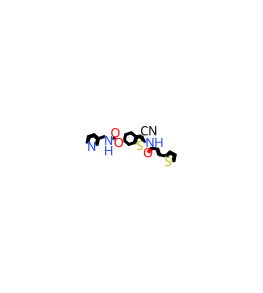 N#Cc1c(NC(=O)C=Cc2cccs2)sc2c1CCC(OC(=O)NCc1cccnc1)C2